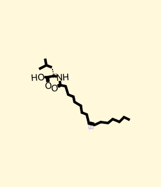 CCCCCC/C=C\CCCCCCCC(=O)N[C@@H](CC(C)C)C(=O)O